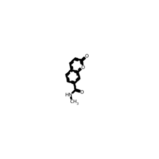 CNC(=O)c1ccc2ccc(=O)oc2c1